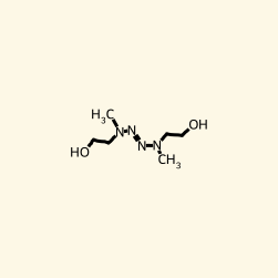 CN(CCO)/N=N/N(C)CCO